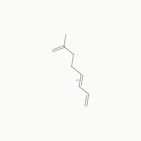 C=C/C=C/CCC(=C)C